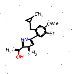 C=C(O)C1=CNC(c2cc(CC)c(OC)cc2CC2CC2C)=CC1=C